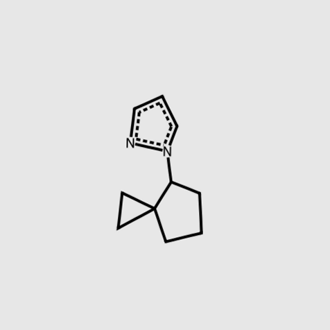 c1cnn(C2CCCC23CC3)c1